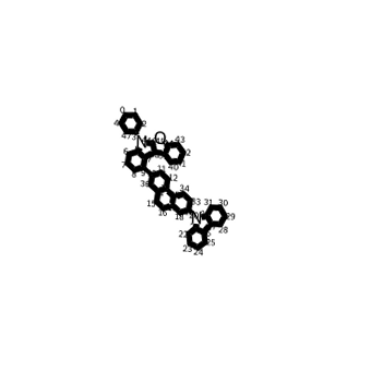 c1ccc(-n2c3cccc(-c4ccc5c(ccc6cc(-n7c8ccccc8c8ccccc87)ccc65)c4)c3c3c4ccccc4oc32)cc1